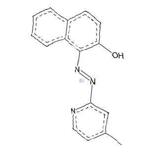 Cc1ccnc(/N=N/c2c(O)ccc3ccccc23)c1